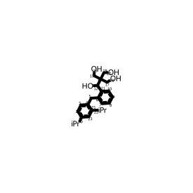 CC(C)c1ccc(Cc2ccccc2C(O)C(CO)(CO)CO)c(C(C)C)c1